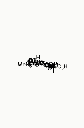 CNC(=O)c1cccc2oc(C(=O)Nc3ccc(-c4ccc(S(=O)(=O)N[C@H](C(=O)O)C(C)C)cc4)cc3)c(C)c12